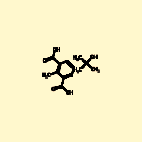 CC(C)(C)O.Cc1c(C(=O)O)cccc1C(=O)O